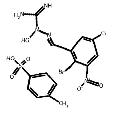 Cc1ccc(S(=O)(=O)O)cc1.N=C(N)N(O)N=Cc1cc(Cl)cc([N+](=O)[O-])c1Br